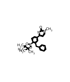 Cn1ccc(-c2ccc(B3OC(C)(C)C(C)(C)O3)c(Cc3ccccc3)c2)nc1=O